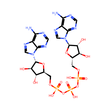 Nc1ncnc2c1ncn2[C@@H]1O[C@@H](CO[P@@](=O)(O)OP(=O)(O)O[P@](=O)(O)OC[C@@H]2O[C@@H](n3cnc4c(N)ncnc43)[C@H](O)[C@H]2O)[C@H](O)[C@H]1O